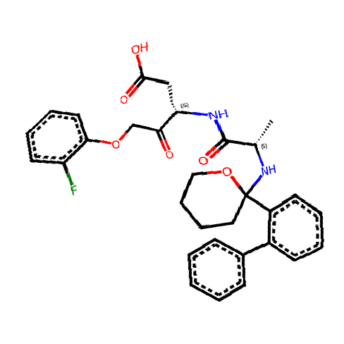 C[C@H](NC1(c2ccccc2-c2ccccc2)CCCCO1)C(=O)N[C@@H](CC(=O)O)C(=O)COc1ccccc1F